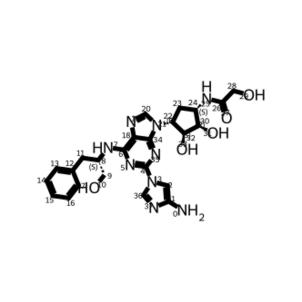 Nc1cn(-c2nc(N[C@H](CO)Cc3ccccc3)c3ncn([C@@H]4C[C@H](NC(=O)CO)[C@@H](O)[C@H]4O)c3n2)cn1